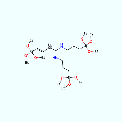 CCO[Si](C=C[SiH2]C(NCCC[Si](OCC)(OCC)OCC)NCCC[Si](OCC)(OCC)OCC)(OCC)OCC